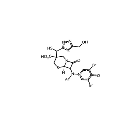 CC(=O)N(C1C(=O)N2CC(C(=O)O)(C(S)c3nnc(CO)s3)CS[C@H]12)n1cc(Br)c(=O)c(Br)c1